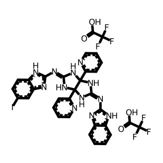 Ic1ccc2[nH]c(N=C3NC4(c5ccccn5)NC(=Nc5nc6ccccc6[nH]5)NC4(c4ccccn4)N3)nc2c1.O=C(O)C(F)(F)F.O=C(O)C(F)(F)F